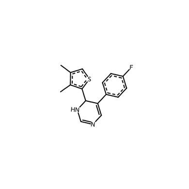 Cc1csc(C2NC=NC=C2c2ccc(F)cc2)c1C